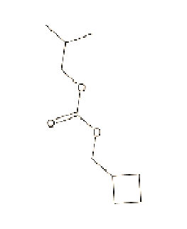 CC(C)COC(=O)OCC1CCC1